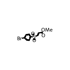 COC(=O)/C=C/S(=O)(=O)c1ccc(Br)cc1